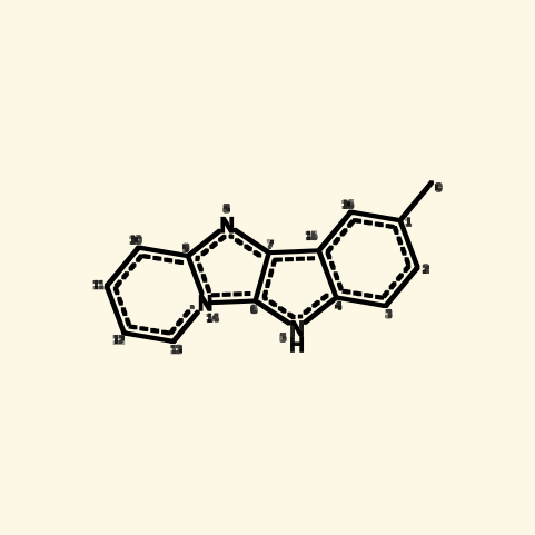 Cc1ccc2[nH]c3c(nc4ccccn43)c2c1